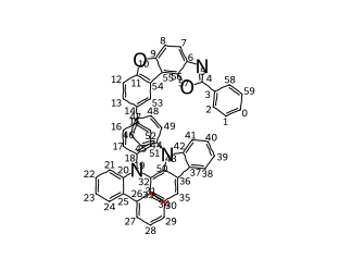 c1ccc(-c2nc3ccc4oc5ccc(-c6ccc(N(c7ccccc7-c7ccccc7)c7cccc8c9ccccc9n(-c9ccccc9)c78)cc6)cc5c4c3o2)cc1